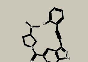 CN(C)C1CCN(C(=O)c2ccc3[nH]nc(C#Cc4ccccc4Cl)c3c2)C1